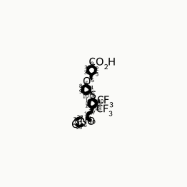 O=C(O)C1CCC(COc2cccc(Sc3ccc(C=CC(=O)N4CCOCC4)c(C(F)(F)F)c3C(F)(F)F)c2)CC1